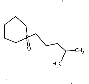 CC(C)CCCP1(=O)CCCCC1